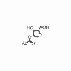 CC(=O)C(=O)O[C@H]1CO[C@H](CO)[C@@H]1O